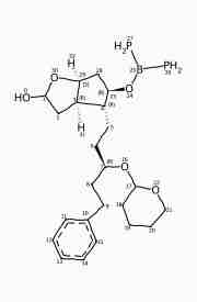 OC1C[C@@H]2[C@@H](CC[C@H](CCc3ccccc3)OC3CCCCO3)[C@H](OB(P)P)C[C@@H]2O1